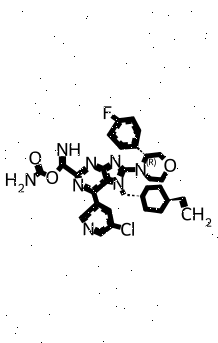 C=C[C@H]1CC[C@H](Cn2c(N3CCOC[C@H]3c3ccc(F)cc3)nc3nc(C(=N)OC(N)=O)nc(-c4cncc(Cl)c4)c32)CC1